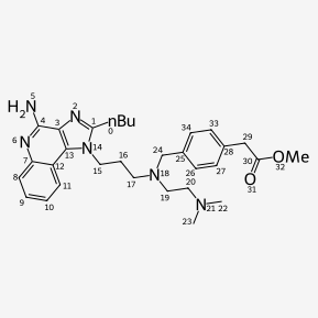 CCCCc1nc2c(N)nc3ccccc3c2n1CCCN(CCN(C)C)Cc1ccc(CC(=O)OC)cc1